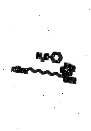 CCCCCCCCCCCCCCCCCC[Si](OCC)(OCC)OCC.Cc1ccccc1